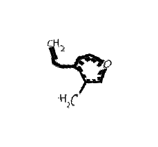 [CH2]c1cocc1C=C